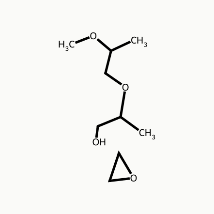 C1CO1.COC(C)COC(C)CO